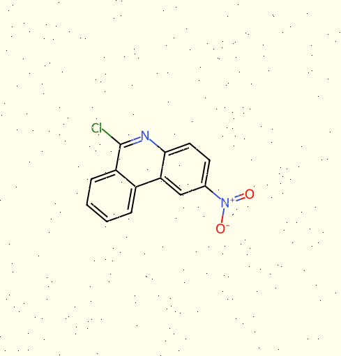 O=[N+]([O-])c1ccc2nc(Cl)c3ccccc3c2c1